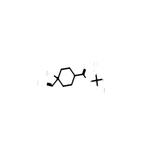 C=CC1(O)CCC(C(=O)OC(C)(C)C)CC1